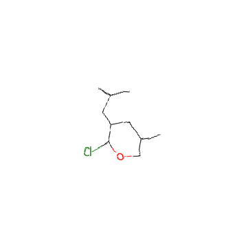 CC(C)CC1CC(C)COC1Cl